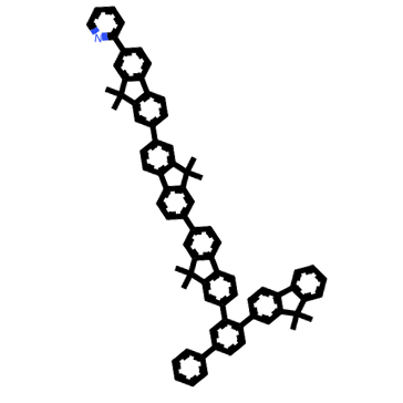 CC1(C)c2cc(-c3ccc4c(c3)C(C)(C)c3cc(-c5ccccn5)ccc3-4)ccc2-c2ccc(-c3ccc4c(c3)C(C)(C)c3cc(-c5cc(-c6ccccc6)ccc5-c5ccc6c(c5)C(C)(C)c5ccccc5-6)ccc3-4)cc21